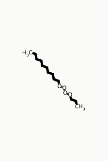 CCCCCCCCCCOOOOCCC